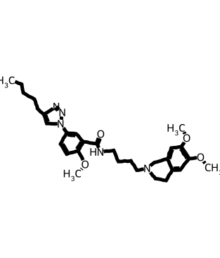 CCCCCc1cn(-c2ccc(OC)c(C(=O)NCCCCN3CCc4cc(OC)c(OC)cc4C3)c2)nn1